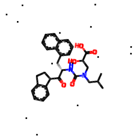 CC(C)CN(CC(O)C(=O)O)C(=O)N[C@@H](Cc1cccc2ccccc12)C(=O)C1CCc2ccccc21